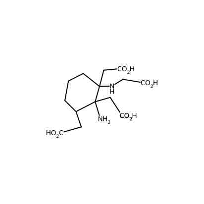 NC1(CC(=O)O)C(CC(=O)O)CCCC1(CC(=O)O)NCC(=O)O